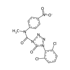 CN(C(=O)n1nnn(-c2c(Cl)cccc2Cl)c1=O)c1ccc([N+](=O)[O-])cc1